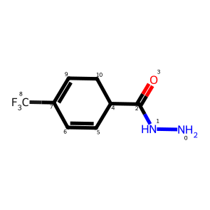 NNC(=O)C1C=CC(C(F)(F)F)=CC1